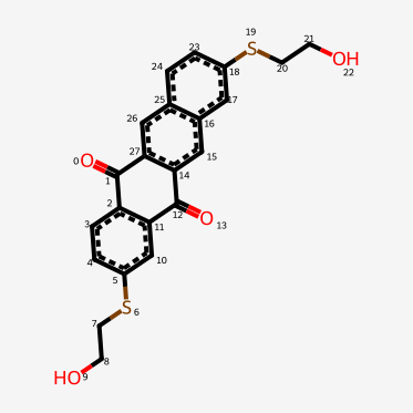 O=C1c2ccc(SCCO)cc2C(=O)c2cc3cc(SCCO)ccc3cc21